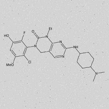 CCN1C(=O)N(c2c(F)c(O)cc(OC)c2Cl)Cc2cnc(NC3CCC(N(C)C)CC3)nc21